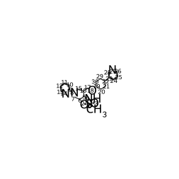 CS(=O)(=O)NC1CCN(c2ccccn2)C[C@H]1COC1CCC(c2cccnc2)CC1